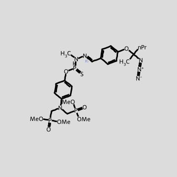 CCCC(C)(N=[N+]=[N-])Oc1ccc(/C=N/N(C)[PH](=S)Oc2ccc(N(CP(=O)(OC)OC)CP(=O)(OC)OC)cc2)cc1